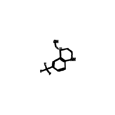 OC[C@@H]1CCNc2ccc(C(F)(F)F)cc21